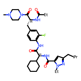 CCC(=O)N[C@H](Cc1ccc(NC(=O)[C@@H](NC(=O)c2cc(CC(C)C)nn2CC)C2CCCCC2)c(F)c1)C(=O)N1CCN(C)CC1